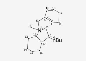 CCCCC1C[N+](C)(Cc2ccccc2)C2CCCCC12